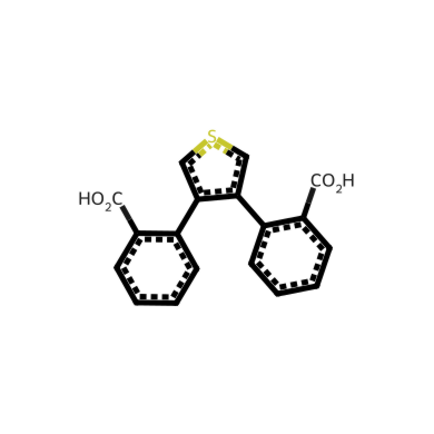 O=C(O)c1ccccc1-c1cscc1-c1ccccc1C(=O)O